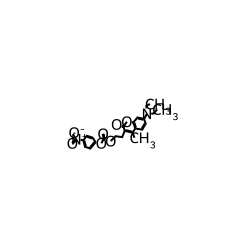 CCN(CC)c1ccc2c(C)c(CCOC(=O)Oc3ccc([N+](=O)[O-])cc3)c(=O)oc2c1